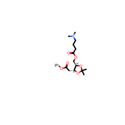 CC(C)OC(=O)C[C@H]1OC(C)(C)O[C@@H]1COC(=O)CCCN(C)C